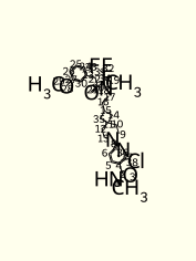 CNC(=O)c1ccc(N2CCC3(CC2)CC(CCN(C)C(=O)[C@H](c2cccc(OC)c2)C(F)(F)F)C3)nc1Cl